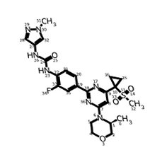 C[C@H]1COCCN1c1cc(C2(S(C)(=O)=O)CC2)nc(-c2ccc(NC(=O)Nc3cnn(C)c3)c(F)c2)n1